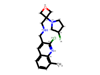 Cc1cccc2cc(CNCC3(N4CCC(F)C4)COC3)c(Cl)nc12